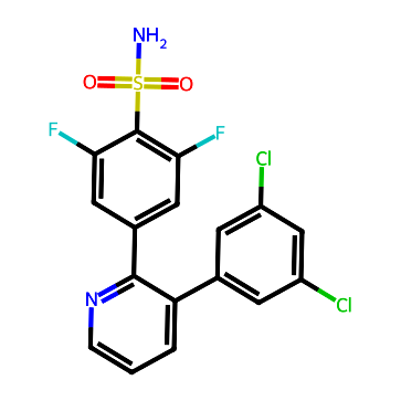 NS(=O)(=O)c1c(F)cc(-c2ncccc2-c2cc(Cl)cc(Cl)c2)cc1F